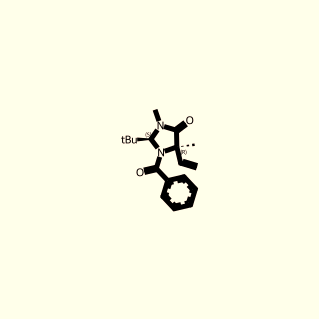 C=C[C@]1(C)C(=O)N(C)[C@H](C(C)(C)C)N1C(=O)c1ccccc1